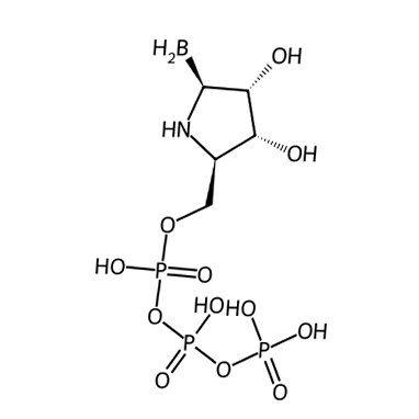 B[C@@H]1N[C@H](COP(=O)(O)OP(=O)(O)OP(=O)(O)O)[C@@H](O)[C@H]1O